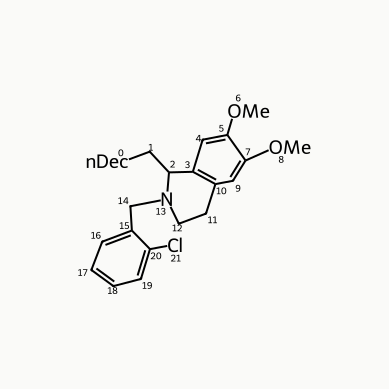 CCCCCCCCCCCC1c2cc(OC)c(OC)cc2CCN1Cc1ccccc1Cl